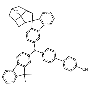 CC1(C)c2ccccc2-c2ccc(N(c3ccc(-c4ccc(C#N)cc4)cc3)c3ccc4c(c3)-c3ccccc3C43C4CC5CC6CC3C6(C5)C4)cc21